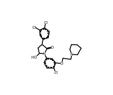 O=C1C(c2ccc(Cl)c(Cl)c2)CC(O)N1c1ccc(Cl)c(OCCN2CCCCC2)c1